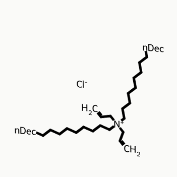 C=CC[N+](CC=C)(CCCCCCCCCCCCCCCCCCC)CCCCCCCCCCCCCCCCCCC.[Cl-]